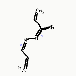 C=C/C=N\N=C(/C=C)C(C)C